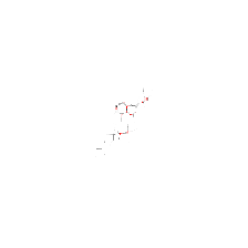 N#Cc1ccc(-c2cccc(-n3c4ccccc4c4c5sc6ccccc6c5ccc43)c2-c2c(C#N)cccc2-n2c3ccccc3c3c4sc5ccccc5c4ccc32)c(C(F)(F)F)c1